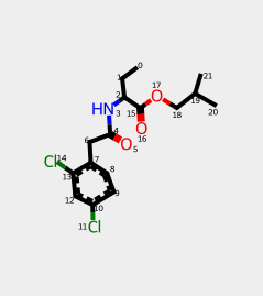 CCC(NC(=O)Cc1ccc(Cl)cc1Cl)C(=O)OCC(C)C